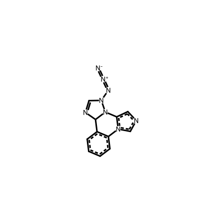 [N-]=[N+]=NN1C=NC2c3ccccc3-n3cncc3N21